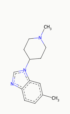 Cc1ccc2ncn(C3CCN(C)CC3)c2c1